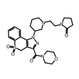 O=C1CCCN1CCN1CCCC(n2nc(C(=O)N3CCOCC3)c3c2-c2ccccc2S(=O)(=O)C3)C1